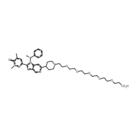 Cc1cc(-c2nc3cnc(C4CCN(CCOCCOCCOCCOCCOCCC(=O)O)CC4)cc3n2[C@@H](C)c2ccccc2)nn(C)c1=O